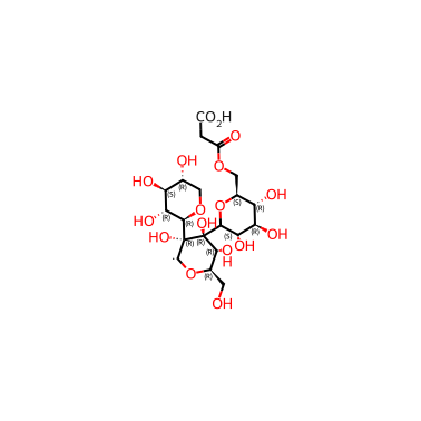 O=C(O)CC(=O)OC[C@@H]1OC([C@]2(O)[C@H](O)[C@@H](CO)O[CH][C@@]2(O)[C@@H]2OC[C@@H](O)[C@H](O)[C@H]2O)[C@@H](O)[C@H](O)[C@H]1O